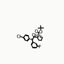 CC(C)(C)OC(=O)N1CCCC1[C@H](O)[C@H](c1ccc(Cl)cc1)c1cccc(F)c1